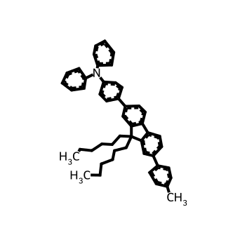 CCCCCCC1(CCCCCC)c2cc(-c3ccc(C)cc3)ccc2-c2ccc(-c3ccc(N(c4ccccc4)c4ccccc4)cc3)cc21